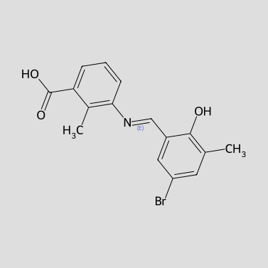 Cc1cc(Br)cc(/C=N/c2cccc(C(=O)O)c2C)c1O